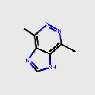 Cc1nnc(C)c2[nH]cnc12